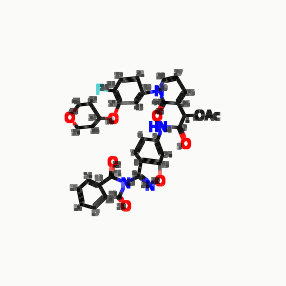 CC(=O)OC(C(=O)Nc1ccc2c(N3C(=O)c4ccccc4C3=O)noc2c1)c1cccn(-c2ccc(F)c(OC3CCOCC3)c2)c1=O